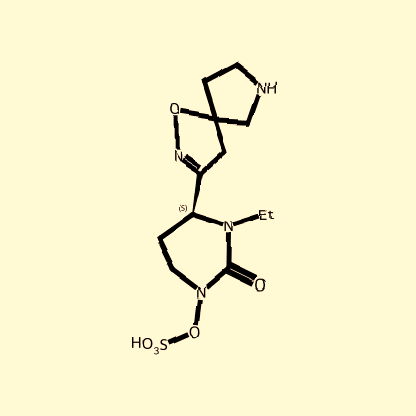 CCN1C(=O)N(OS(=O)(=O)O)CC[C@H]1C1=NOC2(CCNC2)C1